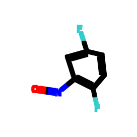 O=Nc1cc(F)ccc1F